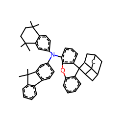 CC1(C)CCC(C)(C)c2cc(N(c3ccc4c(c3)C(C)(C)c3ccccc3-4)c3cccc4c3Oc3ccccc3C43C4CC5CC6CC3C64C5)ccc21